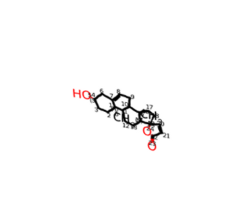 C[C@]12CC[C@H](O)CC1=CCC1C2CC[C@@]2(C)C1CC[C@]21C=CC(=O)O1